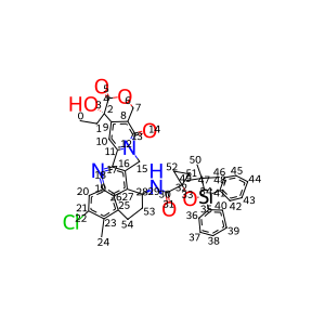 CC[C@@]1(O)C(=O)OCc2c1cc1n(c2=O)Cc2c-1nc1cc(Cl)c(C)c3c1c2[C@@H](NC(=O)C1(O[Si](c2ccccc2)(c2ccccc2)C(C)(C)C)CC1)CC3